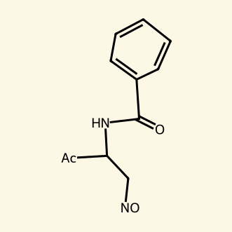 CC(=O)C(CN=O)NC(=O)c1ccccc1